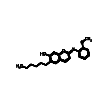 CCCCCCc1cc2ccc(=Nc3ccccc3OC)oc2cc1O